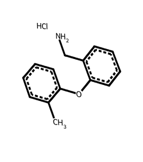 Cc1ccccc1Oc1ccccc1CN.Cl